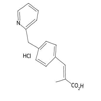 CC(=Cc1ccc(Cc2ccccn2)cc1)C(=O)O.Cl